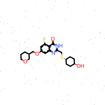 O=c1[nH]c(CS[C@H]2CC[C@H](O)CC2)nc2cc(OCC3CCCOC3)cc(F)c12